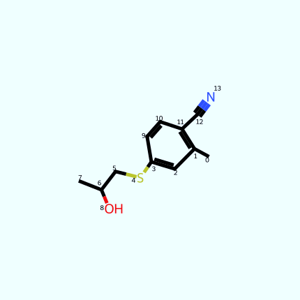 Cc1cc(SCC(C)O)ccc1C#N